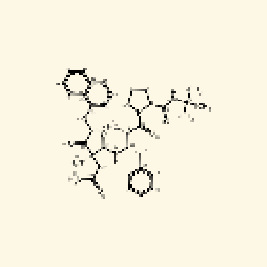 CC(C)(C)NC(=O)[C@@H]1CCCN1C(=O)[C@@H](O)[C@H](Cc1ccccc1)NC(=O)[C@@](N)(CC(N)=O)C(=O)COc1cccc2ccccc12